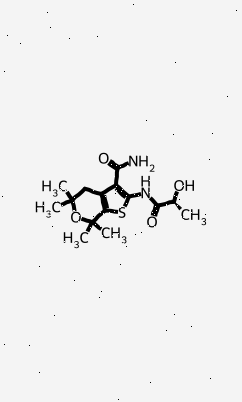 C[C@H](O)C(=O)Nc1sc2c(c1C(N)=O)CC(C)(C)OC2(C)C